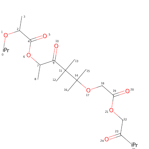 CC(C)OC(C)C(=O)OC(C)C(=O)C(C)(C)C(C)(C)OCC(=O)OCC(=O)C(C)C